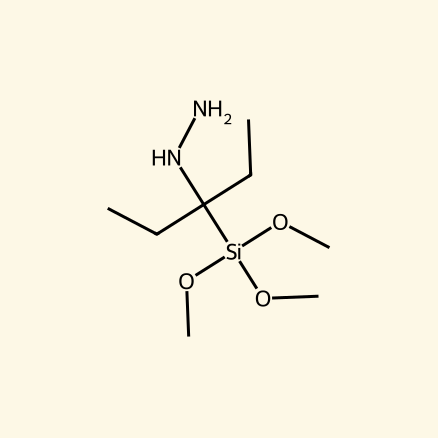 CCC(CC)(NN)[Si](OC)(OC)OC